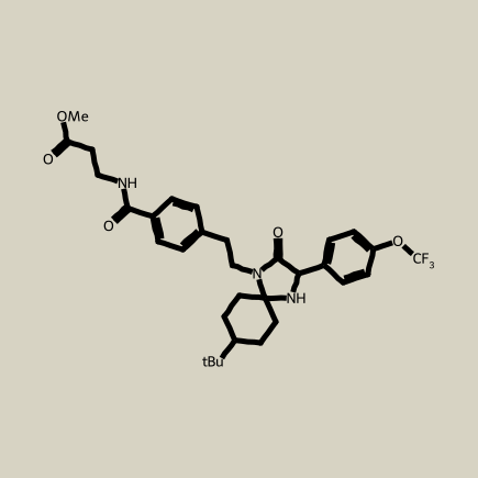 COC(=O)CCNC(=O)c1ccc(CCN2C(=O)C(c3ccc(OC(F)(F)F)cc3)NC23CCC(C(C)(C)C)CC3)cc1